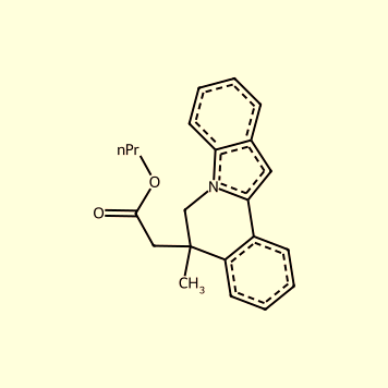 CCCOC(=O)CC1(C)Cn2c(cc3ccccc32)-c2ccccc21